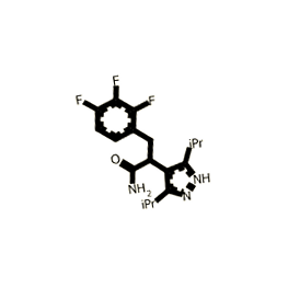 CC(C)c1n[nH]c(C(C)C)c1C(Cc1ccc(F)c(F)c1F)C(N)=O